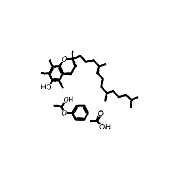 CC(=O)O.CC(O)Oc1ccccc1.Cc1c(C)c2c(c(C)c1O)CC[C@@](C)(CCCC(C)CCCC(C)CCCC(C)C)O2